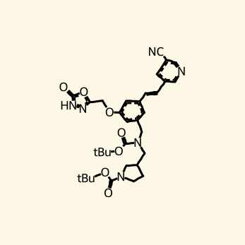 CC(C)(C)OC(=O)N1CCC(CN(Cc2cc(/C=C/c3cncc(C#N)c3)cc(OCc3n[nH]c(=O)o3)c2)C(=O)OC(C)(C)C)C1